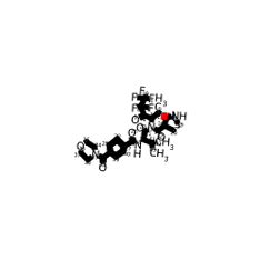 CC(C)C(C(=O)C(F)(F)C(F)(F)F)N(C(=O)C1CNSC1)C(=O)[C@@H](NC(=O)c1ccc(C(=O)N2CCOCC2)cc1)C(C)C